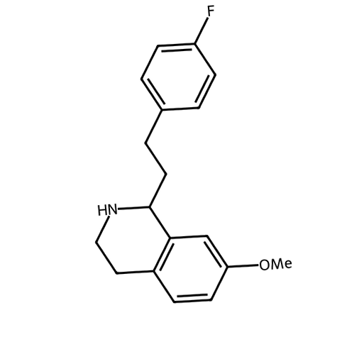 COc1ccc2c(c1)C(CCc1ccc(F)cc1)NCC2